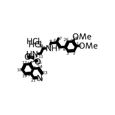 COc1ccc(C=C(C)CNCCNS(=O)(=O)c2cccc3cnccc23)cc1OC.Cl.Cl